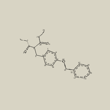 CCC(=O)C(Cc1ccc(OCc2ccccc2)cc1)C(=O)CC